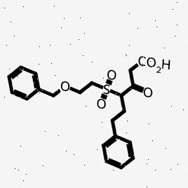 O=C(O)CC(=O)C(CCc1ccccc1)S(=O)(=O)CCOCc1ccccc1